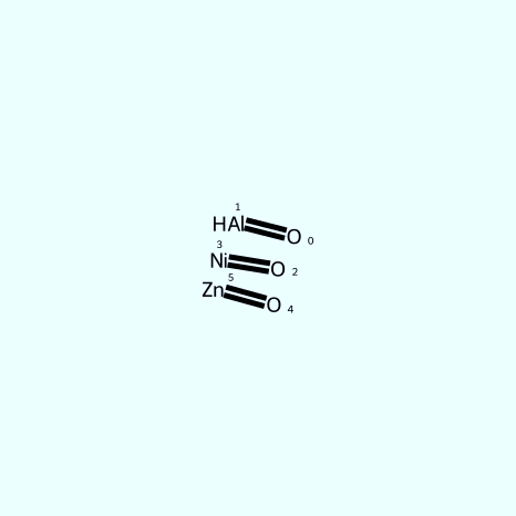 [O]=[AlH].[O]=[Ni].[O]=[Zn]